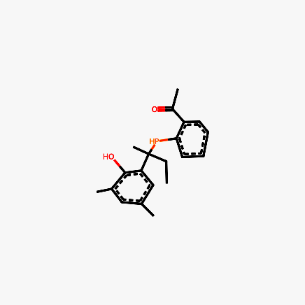 CCC(C)(Pc1ccccc1C(C)=O)c1cc(C)cc(C)c1O